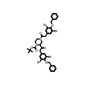 CC(C)(C)OC(=O)N1CCN(C(=O)Cc2cc(Br)c(OCc3ccccc3)c(Br)c2)CC1C(=O)Cc1cc(Br)c(OCc2ccccc2)c(Br)c1